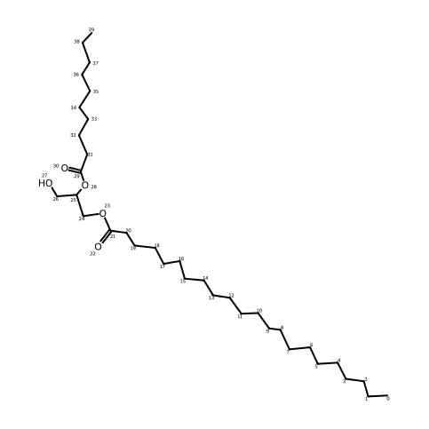 CCCCCCCCCCCCCCCCCCCCCC(=O)OCC(CO)OC(=O)CCCCCCCCC